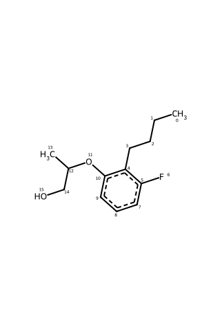 CCCCc1c(F)cccc1OC(C)CO